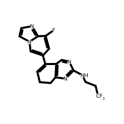 Fc1cc(C2=CCCc3nc(NCCC(F)(F)F)ncc32)cn2ccnc12